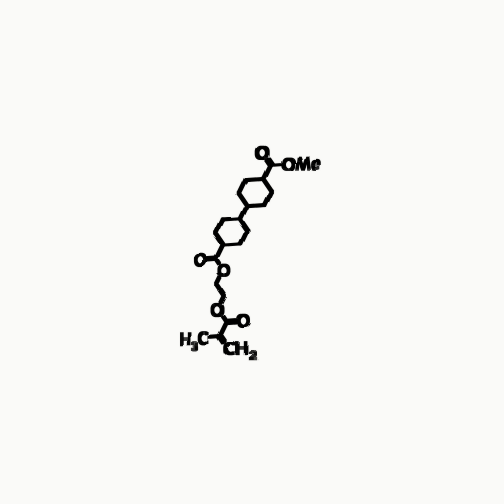 C=C(C)C(=O)OCCOC(=O)C1CCC(C2CCC(C(=O)OC)CC2)CC1